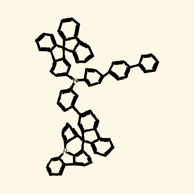 c1ccc(-c2ccc(-c3ccc(N(c4cccc(-c5ccc6c(c5)C5(c7ccccc7-6)c6ccccc6-n6c7ccccc7c7cccc5c76)c4)c4ccc5c(c4)C4(c6ccccc6-c6ccccc64)c4ccccc4-5)cc3)cc2)cc1